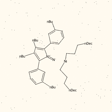 CCCCC1=C(c2cccc(CCCC)c2)[N+](=[N-])C(c2cccc(CCCC)c2)=C1CCCC.CCCCCCCCCCCC[CH2][Ni][CH2]CCCCCCCCCCCC